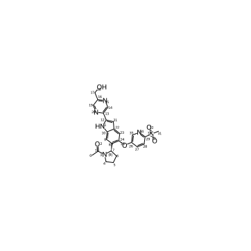 CC(=O)N1CCC[C@@H]1c1cc2[nH]c(-c3cnc(CO)cn3)cc2cc1Oc1ccc(S(C)(=O)=O)nc1